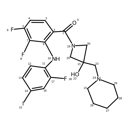 O=C(c1ccc(F)c(F)c1Nc1ccc(I)cc1F)N1CC(O)(CN2CCCCC2)C1